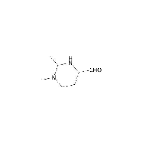 CC1NC(C=O)CCN1C